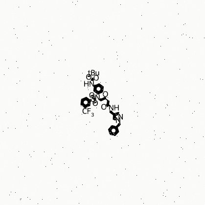 CC(C)(C)OC(=O)Nc1ccc2c(c1)N(S(=O)(=O)c1cccc(C(F)(F)F)c1)C[C@H](CC(=O)NCc1cnn(Cc3ccccc3)c1)O2